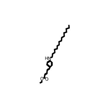 CCCCCCCCCCCCCCCCNc1ccc(C=CC=CC(=O)OCC)cc1